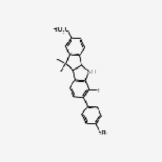 CCCCc1ccc(-c2ccc3c(c2F)NC2c4ccc(C(=O)O)cc4C(C)(C)C32)cc1